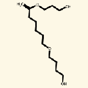 C=C(CCCCCOCCCCO)OCCCO